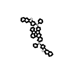 c1ccc(N(c2ccc3c(c2)C2(c4ccccc4-c4ccccc42)c2cc4cc(N(c5ccccc5)c5ccc6c(c5)oc5cc7ccccc7cc56)ccc4cc2-3)c2ccc3c(c2)oc2cc4ccccc4cc23)cc1